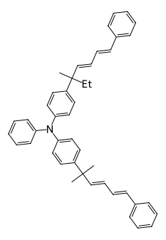 CCC(C)(C=CC=Cc1ccccc1)c1ccc(N(c2ccccc2)c2ccc(C(C)(C)C=CC=Cc3ccccc3)cc2)cc1